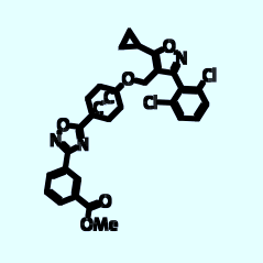 COC(=O)c1cccc(-c2noc(C34CCC(OCc5c(-c6c(Cl)cccc6Cl)noc5C5CC5)(CC3)CC4)n2)c1